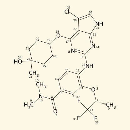 C[C@@H](Oc1cc(C(=O)N(C)C)ccc1Nc1nc(OC2CCC(C)(O)CC2)c2c(Cl)c[nH]c2n1)C(F)(F)F